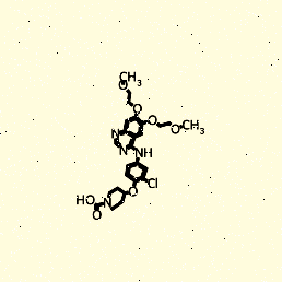 COCCOc1cc2ncnc(Nc3ccc(OC4CCN(C(=O)O)CC4)c(Cl)c3)c2cc1OCCOC